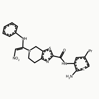 CC(C)c1ccc(N)c(NC(=O)c2nc3c(s2)CN(/C(=C\[N+](=O)[O-])Nc2ccccc2)CC3)c1